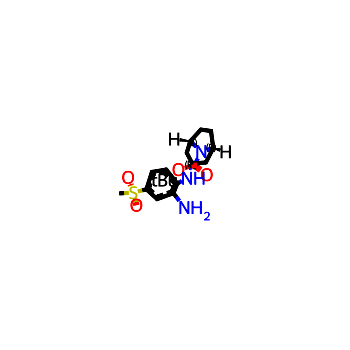 CC(C)(C)OC(=O)N1[C@@H]2CC[C@H]1C[C@@H](Nc1ccc(S(C)(=O)=O)cc1N)C2